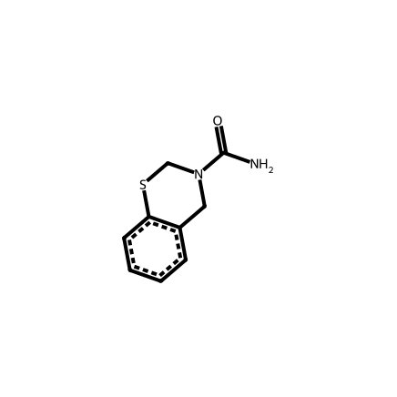 NC(=O)N1CSc2ccccc2C1